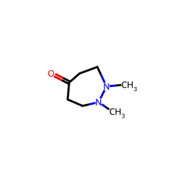 CN1CCC(=O)CCN1C